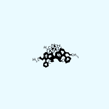 CCCc1ccc2c(c1-c1ccccc1)C=C(C(C)CC)[CH]2[Zr]([Cl])([Cl])([CH]1C(C(C)CC)=Cc2c1ccc(CCC)c2-c1ccccc1)[SiH](C)C